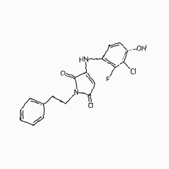 O=C1C=C(Nc2ccc(O)c(Cl)c2F)C(=O)N1CCc1ccccc1